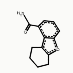 NC(=O)c1[c]ccc2oc3c(c12)CCCC3